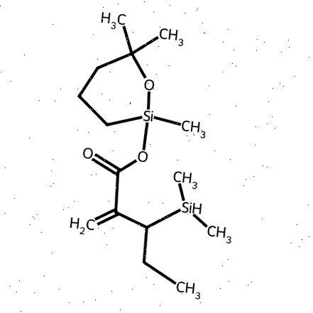 C=C(C(=O)O[Si]1(C)CCCC(C)(C)O1)C(CC)[SiH](C)C